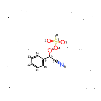 CS(=O)(=O)OOC(C#N)c1ccccc1